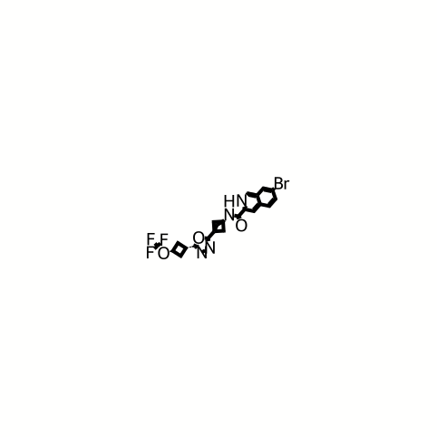 O=C(NC12CC(c3nnc([C@H]4C[C@@H](OC(F)(F)F)C4)o3)(C1)C2)c1cc2ccc(Br)cc2cn1